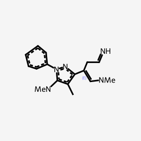 CN/C=C(\CC=N)c1nn(-c2ccccc2)c(NC)c1C